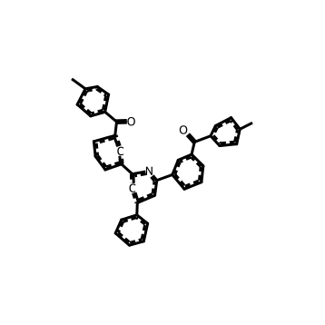 Cc1ccc(C(=O)c2cccc(-c3cc(-c4ccccc4)cc(-c4cccc(C(=O)c5ccc(C)cc5)c4)n3)c2)cc1